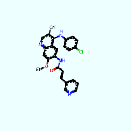 CCOc1cc2ncc(C#N)c(Nc3ccc(Cl)cc3)c2cc1NC(=O)C=Cc1cccnc1